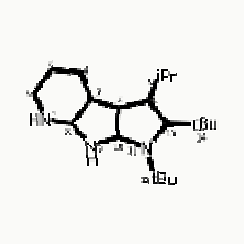 CC(C)C1C2C3CCCNC3NC2N(C(C)(C)C)C1C(C)(C)C